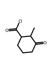 CC1C(=O)CCCC1C(=O)Cl